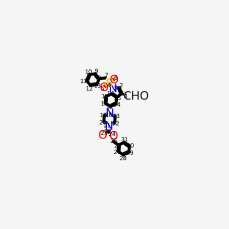 O=Cc1cn(S(=O)(=O)Cc2ccccc2)c2ccc(N3CCN(C(=O)OCc4ccccc4)CC3)cc12